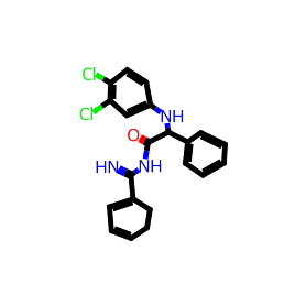 N=C(NC(=O)C(Nc1ccc(Cl)c(Cl)c1)c1ccccc1)C1=CC=CCC1